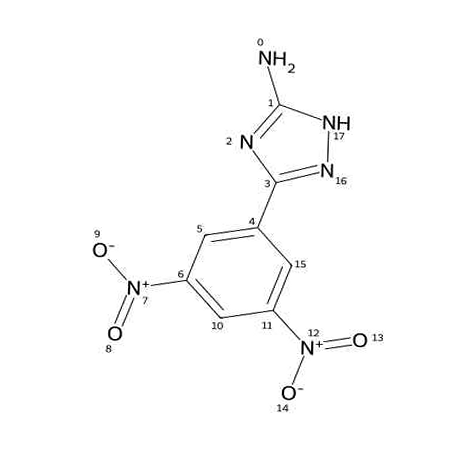 Nc1nc(-c2cc([N+](=O)[O-])cc([N+](=O)[O-])c2)n[nH]1